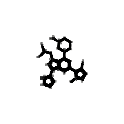 Cn1ncc(F)c1-c1cc(N2CCC[C@H](O)C2)c2c(n1)c(-c1ccn[nH]1)nn2CC(F)F